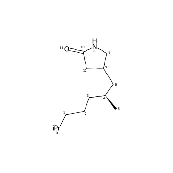 CC(C)CCC[C@H](C)CC1CNC(=O)C1